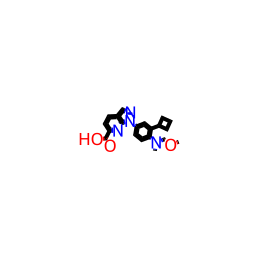 COCN(C)c1ccc(-n2ncc3ccc(C(=O)O)nc32)cc1C1CCC1